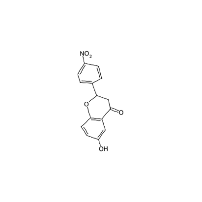 O=C1CC(c2ccc([N+](=O)[O-])cc2)Oc2ccc(O)cc21